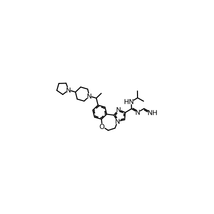 CC(C)N/C(=N\C=N)c1cn2c(n1)-c1cc(C(C)N3CCC(N4CCCC4)CC3)ccc1OCC2